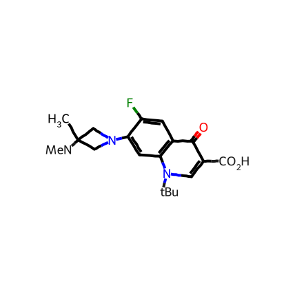 CNC1(C)CN(c2cc3c(cc2F)c(=O)c(C(=O)O)cn3C(C)(C)C)C1